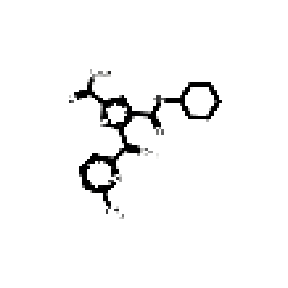 C=C(c1cccc(C)n1)c1oc(C(=O)NC)cc1C(=O)NC1CCCCC1